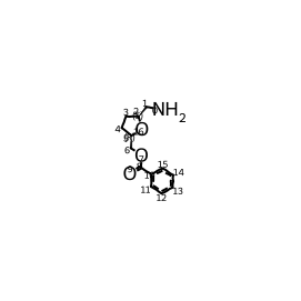 NC[C@@H]1CC[C@H](COC(=O)c2ccccc2)O1